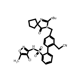 CCCCC1=NC2(CCCC2)C(=O)N1Cc1ccc(-c2ccccc2S(=O)(=O)Nc2noc(C)c2Cl)c(CC#N)c1